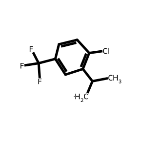 [CH2]C(C)c1cc(C(F)(F)F)ccc1Cl